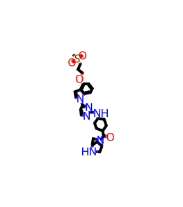 CS(=O)(=O)CCCOc1cccc2c1ccn2-c1ccnc(NC2CCC(C(=O)N3CC4CC3CN4)CC2)n1